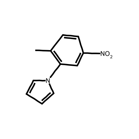 Cc1ccc([N+](=O)[O-])cc1-n1cccc1